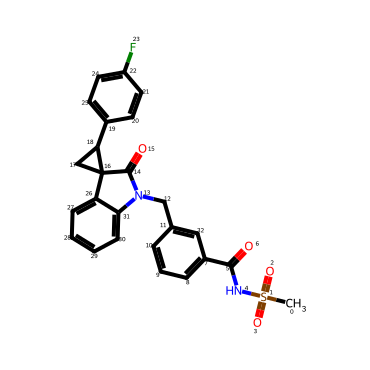 CS(=O)(=O)NC(=O)c1cccc(CN2C(=O)C3(CC3c3ccc(F)cc3)c3ccccc32)c1